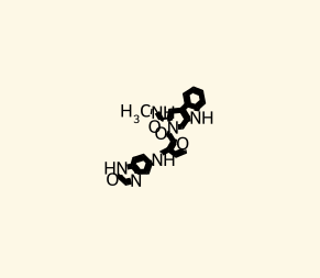 CNC(=O)[C@H]1Cc2c([nH]c3ccccc23)CN1C(=O)c1occc1CNc1ccc2[nH]c(=O)cnc2c1